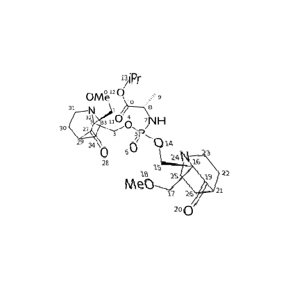 COC[C@@]1(COP(=O)(N[C@@H](C)C(=O)OC(C)C)OC[C@]2(COC)C(=O)C3CCN2CC3)C(=O)C2CCN1CC2